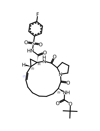 CC(C)(C)OC(=O)N[C@H]1CCCCC/C=C\[C@@H]2C[C@@]2(C(=O)NS(=O)(=O)c2ccc(F)cc2)NC(=O)C2CCCN2C1=O